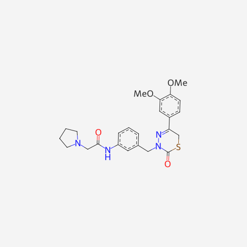 COc1ccc(C2=NN(Cc3cccc(NC(=O)CN4CCCC4)c3)C(=O)SC2)cc1OC